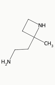 CC1(CCN)CCN1